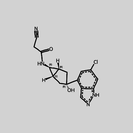 N#CCC(=O)N[C@H]1[C@@H]2C[C@@](O)(c3cc(Cl)cc4[nH]ncc34)C[C@@H]21